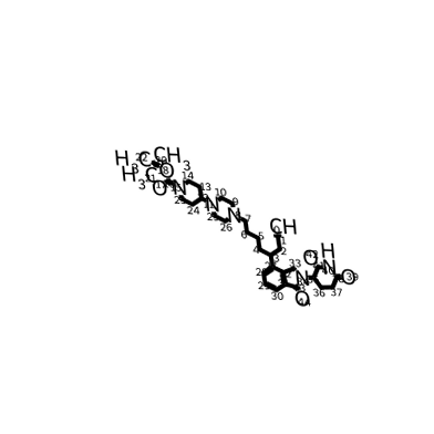 C#CCC(CCCCN1CCN(C2CCN(C(=O)OC(C)(C)C)CC2)CC1)c1cccc2c1CN(C1CCC(=O)NC1=O)C2=O